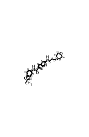 Cc1nc2cc(NC(=O)c3cc4sc(NCCCN5CCOCC5)nc4s3)ccc2o1